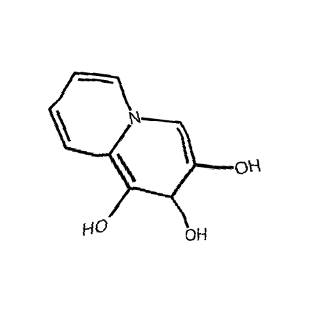 OC1=CN2C=CC=CC2=C(O)C1O